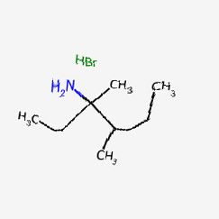 Br.CCC(C)C(C)(N)CC